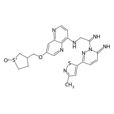 Cc1cc(-c2ccc(=N)n(C(=N)CNc3ccnc4cc(OCC5CC[S+]([O-])C5)cnc34)n2)sn1